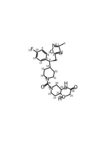 Cc1noc(C[C@H](c2ccc(F)cc2)C2CCN(C(=O)N3CC[C@@H]4OCC(=O)NC4C3)CC2)n1